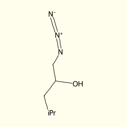 CC(C)CC(O)CN=[N+]=[N-]